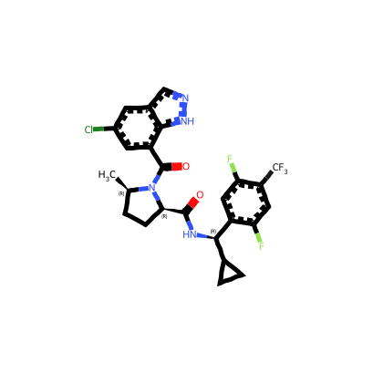 C[C@@H]1CC[C@H](C(=O)N[C@@H](c2cc(F)c(C(F)(F)F)cc2F)C2CC2)N1C(=O)c1cc(Cl)cc2cn[nH]c12